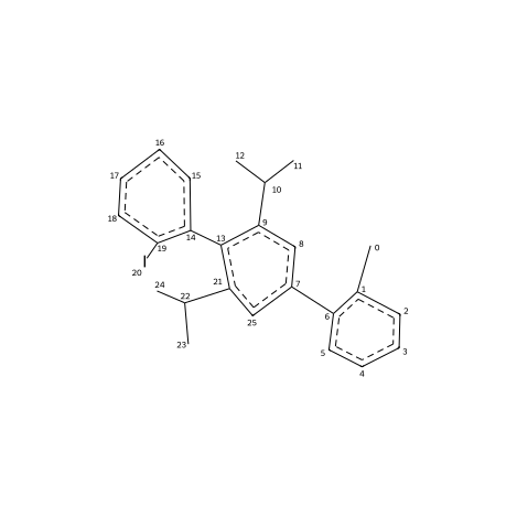 Cc1ccccc1-c1cc(C(C)C)c(-c2ccccc2I)c(C(C)C)c1